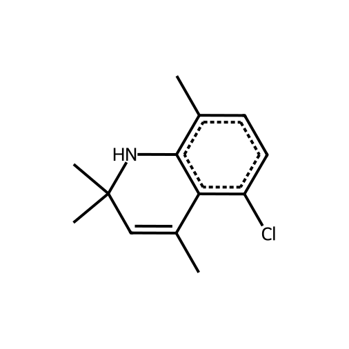 CC1=CC(C)(C)Nc2c(C)ccc(Cl)c21